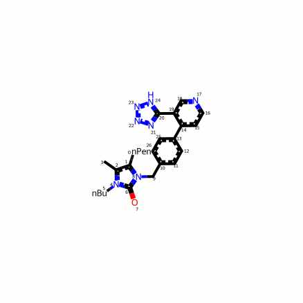 CCCCCc1c(C)n(CCCC)c(=O)n1Cc1ccc(-c2ccncc2-c2nnn[nH]2)cc1